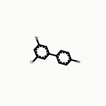 Clc1cc(Br)cc(-c2ccc(Br)cc2)c1